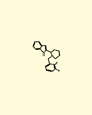 Fc1cccc(CN2CCCCC2c2cc3ccccc3[nH]2)c1F